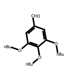 CCCCOc1cc(C=O)cc(OCCCC)c1OCCCC